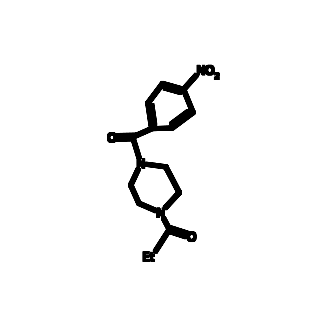 CCC(=O)N1CCN(C(=O)c2ccc([N+](=O)[O-])cc2)CC1